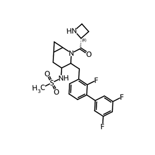 CS(=O)(=O)NC1CC2CC2N(C(=O)[C@H]2CCN2)C1Cc1cccc(-c2cc(F)cc(F)c2)c1F